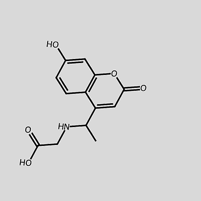 CC(NCC(=O)O)c1cc(=O)oc2cc(O)ccc12